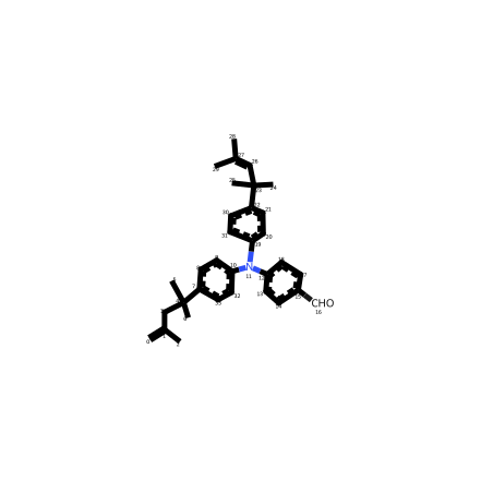 C=C(C)CC(C)(C)c1ccc(N(c2ccc(C=O)cc2)c2ccc(C(C)(C)C=C(C)C)cc2)cc1